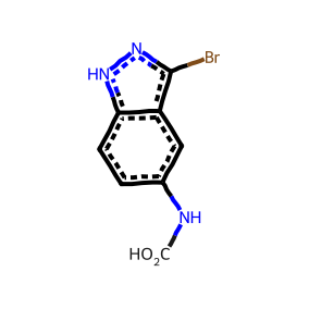 O=C(O)Nc1ccc2[nH]nc(Br)c2c1